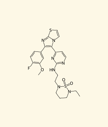 CCN1CCCN(CCNc2nccc(-c3c(-c4ccc(F)c(OC)c4)nc4sccn34)n2)S1(=O)=O